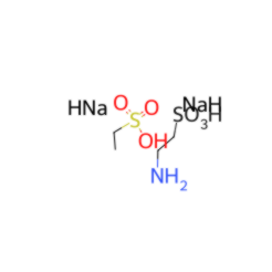 CCS(=O)(=O)O.NCCS(=O)(=O)O.[NaH].[NaH]